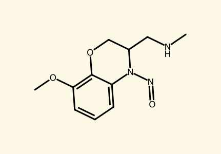 CNCC1COc2c(OC)cccc2N1N=O